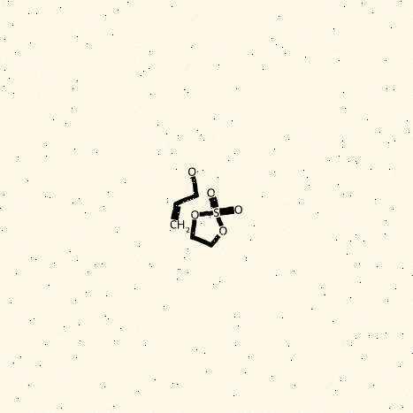 C=CC[O].O=S1(=O)OCCO1